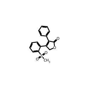 CS(=O)(=O)c1ccccc1C1=C(c2ccccc2)C(=O)OC1